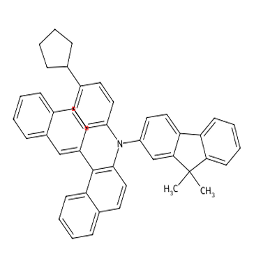 CC1(C)c2ccccc2-c2ccc(N(c3ccc(C4CCCC4)cc3)c3ccc4ccccc4c3-c3ccc4ccccc4c3)cc21